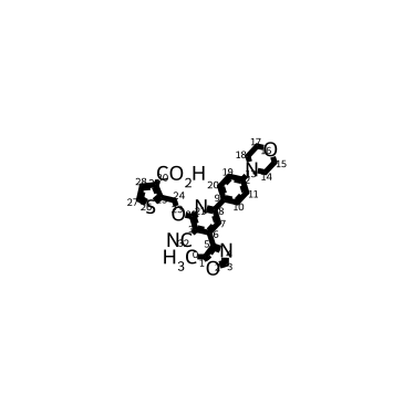 Cc1ocnc1-c1cc(-c2ccc(N3CCOCC3)cc2)nc(OCc2sccc2C(=O)O)c1C#N